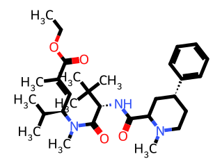 CCOC(=O)/C(C)=C/[C@H](C(C)C)N(C)C(=O)[C@@H](NC(=O)C1C[C@H](c2ccccc2)CCN1C)C(C)(C)C